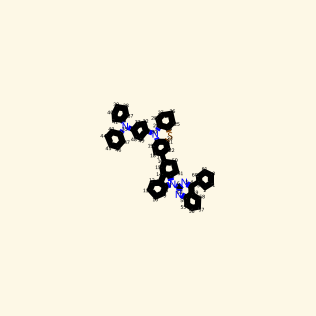 c1ccc(-c2nc(-n3c4ccccc4c4cc(-c5ccc6c(c5)Sc5ccccc5N6c5ccc(N(c6ccccc6)c6ccccc6)cc5)ccc43)nc3ccccc23)cc1